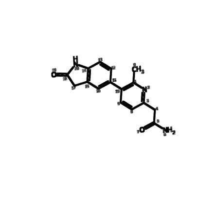 Cc1nc(CC(N)=O)ccc1-c1ccc2c(c1)CC(=O)N2